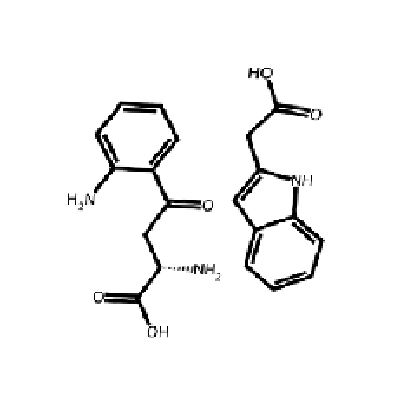 Nc1ccccc1C(=O)C[C@H](N)C(=O)O.O=C(O)Cc1cc2ccccc2[nH]1